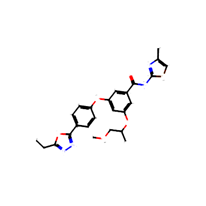 CCc1nnc(-c2ccc(Oc3cc(OC(C)COC)cc(C(=O)Nc4nc(C)cs4)c3)cc2)o1